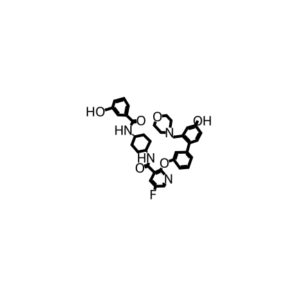 O=C(N[C@H]1CC[C@@H](NC(=O)c2cc(F)cnc2Oc2cccc(-c3ccc(O)cc3CN3CCOCC3)c2)CC1)c1cccc(O)c1